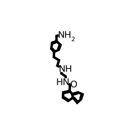 NCc1ccc(CCCNCCNC(=O)c2cccc3ccccc23)cc1